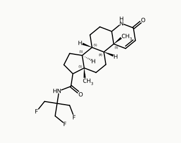 C[C@]12C=CC(=O)NC1CC[C@@H]1[C@H]2CC[C@]2(C)C(C(=O)NC(CF)(CF)CF)CC[C@@H]12